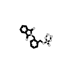 CCOP(=O)(OCC)OCc1ccccc1CN1C(=O)c2ccccc2C1=O